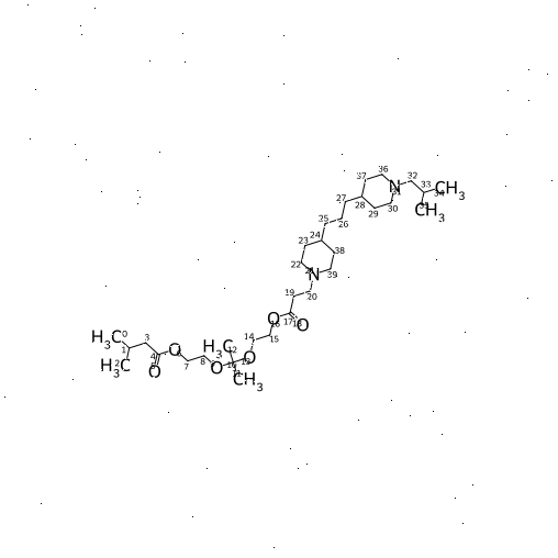 CC(C)CC(=O)OCCOC(C)(C)OCCOC(=O)CCN1CCC(CCCC2CCN(CC(C)C)CC2)CC1